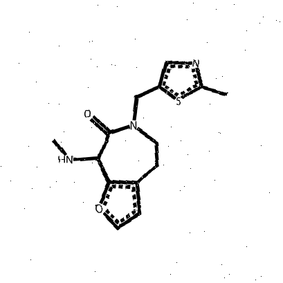 CNC1C(=O)N(Cc2cnc(C)s2)CCc2ccoc21